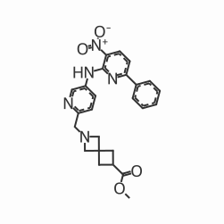 COC(=O)C1CC2(C1)CN(Cc1ccc(Nc3nc(-c4ccccc4)ccc3[N+](=O)[O-])cn1)C2